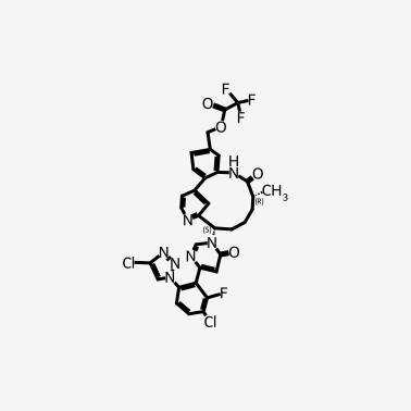 C[C@@H]1CCC[C@H](n2cnc(-c3c(-n4cc(Cl)nn4)ccc(Cl)c3F)cc2=O)c2cc(ccn2)-c2ccc(COC(=O)C(F)(F)F)cc2NC1=O